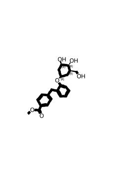 COC(=O)c1ccc(Cc2ccccc2O[C@@H]2C[C@H](CO)[C@@H](O)[C@H](O)C2)cc1